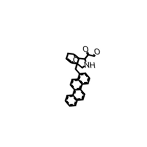 O=CC(=O)C1NCC2(Cc3cccc4c3ccc3c5ccccc5ccc43)C3=CCC(O3)C12